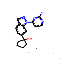 Nc1nccc(-n2ncc3ccc(C4(O)CCCC4)cc32)n1